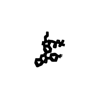 CCCc1nc2cc(N(Cc3ccccc3)C(=O)c3ccc(F)cc3)ccc2n1CC(=O)OC(C)(C)C